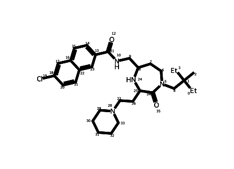 CCC(C)(CC)CN1CCC(CNC(=O)c2ccc3cc(Cl)ccc3c2)NC(CCN2CCCCC2)C1=O